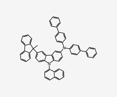 CC1(c2ccc3c(c2)c2cc(N(c4ccc(-c5ccccc5)cc4)c4ccc(-c5ccccc5)cc4)ccc2n3-c2cccc3ccccc23)c2ccccc2-c2ccccc21